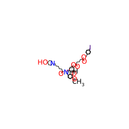 COc1ccc2c3c1O[C@@H]1C[C@H](OC(=O)CCCC(=O)OCc4ccc(I)cc4)C=C[C@@]31CCN(C(=O)CCCCCN1CCC(O)CC1)C2